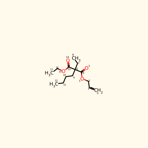 C=CCOC(=O)C(CC)(CCCC)C(=O)OCC